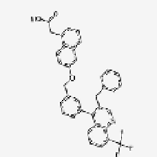 O=C(O)Cc1cccc2cc(OCc3cccc(-c4c(Cc5ccccc5)cnc5c(C(F)(F)F)cccc45)c3)ccc12